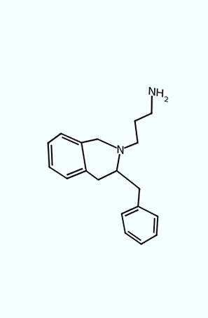 NCCCN1Cc2ccccc2CC1Cc1ccccc1